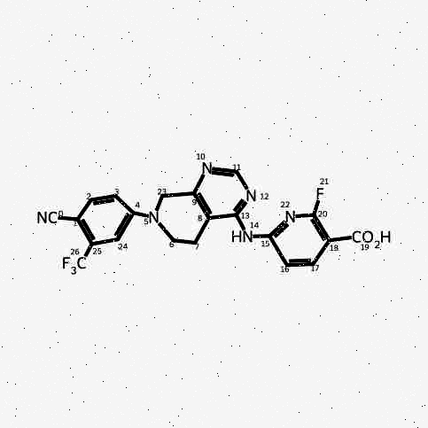 N#Cc1ccc(N2CCc3c(ncnc3Nc3ccc(C(=O)O)c(F)n3)C2)cc1C(F)(F)F